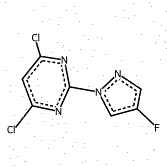 Fc1cnn(-c2nc(Cl)cc(Cl)n2)c1